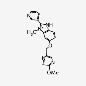 COc1cnc(COc2ccc3[nH]c(-c4cccnc4)[n+](C)c3c2)cn1